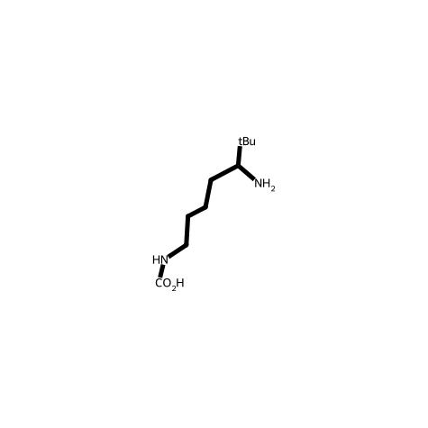 CC(C)(C)C(N)CCCCNC(=O)O